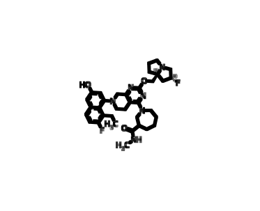 CCc1c(F)ccc2cc(O)cc(N3CCc4c(nc(OC[C@@]56CCCN5C[C@H](F)C6)nc4N4CCCCC(C(=O)NC)C4)C3)c12